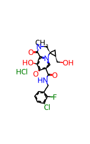 CN1C[C@]2(C[C@H]2CO)n2cc(C(=O)NCc3cccc(Cl)c3F)c(=O)c(O)c2C1=O.Cl